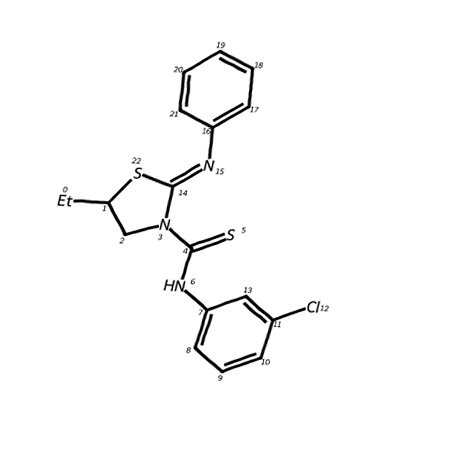 CCC1CN(C(=S)Nc2cccc(Cl)c2)C(=Nc2ccccc2)S1